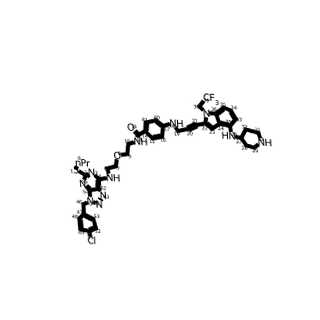 CCCSc1nc(NCCOCCNC(=O)c2ccc(NCC#Cc3cc4c(NC5CCNCC5)cccc4n3CC(F)(F)F)cc2)c2nnn(Cc3ccc(Cl)cc3)c2n1